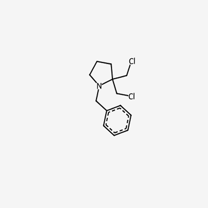 ClCC1(CCl)CCCN1Cc1ccccc1